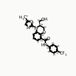 Cc1cnc(N2c3cccc(C(=O)Nc4ccc(C(F)(F)F)cc4)c3OC[C@@H]2CO)o1